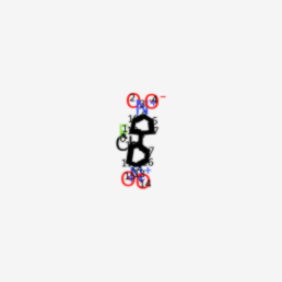 CF.O=[N+]([O-])c1ccc(-c2ccc([N+](=O)[O-])cc2)cc1